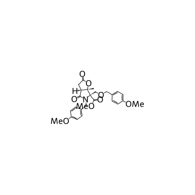 COC(=O)[C@]1(COCc2ccc(OC)cc2)N(Cc2ccc(OC)cc2)C(=O)[C@@H]2CC(=O)O[C@@]21C